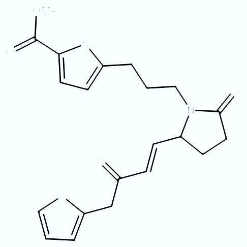 COC(=O)c1ccc(CCCN2C(=O)CCC2/C=C/C(=O)Cc2cccs2)s1